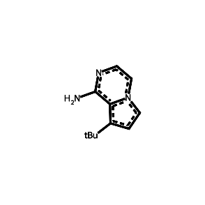 CC(C)(C)c1ccn2ccnc(N)c12